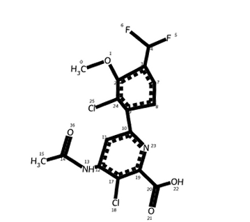 COc1c(C(F)F)ccc(-c2cc(NC(C)=O)c(Cl)c(C(=O)O)n2)c1Cl